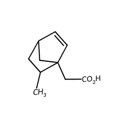 CC1CC2C=CC1(CC(=O)O)C2